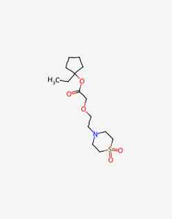 CCC1(OC(=O)COCCN2CCS(=O)(=O)CC2)CCCC1